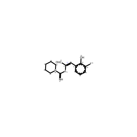 N=C(S/C(C=O)=C\c1cccc(F)c1O)N1CCCCC1